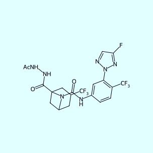 CC(=O)NNC(=O)C12CC(CC(C(F)(F)F)C1)N2C(=O)Nc1ccc(C(F)(F)F)c(-n2ncc(F)n2)c1